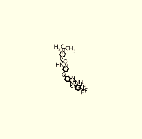 CC(C)N1CCN(CC(=O)Nc2cc(Oc3ccc4c(c3)nc(Nc3cccc(C(F)(F)F)c3F)n4C)ccn2)CC1